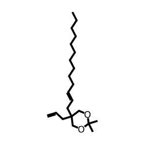 C=CCC1(CC=CCCCCCCCCCC)COC(C)(C)OC1